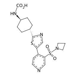 O=C(O)N[C@H]1CC[C@H](c2ncc(-c3ccncc3S(=O)(=O)N3CCC3)s2)CC1